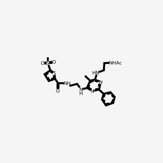 CC(=O)NCCNc1nc(-c2ccccc2)nc(NCCNC(=O)c2ccc(S(C)(=O)=O)s2)c1C